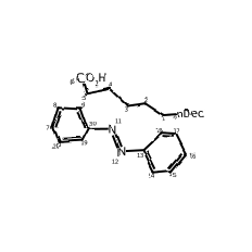 CCCCCCCCCCCCCCCC(=O)O.c1ccc(N=Nc2ccccc2)cc1